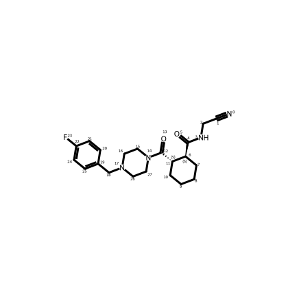 N#CCNC(=O)[C@H]1CCCC[C@@H]1C(=O)N1CCN(Cc2ccc(F)cc2)CC1